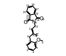 COc1ccccc1CC(F)=CCN1C(=O)c2ccccc2C1=O